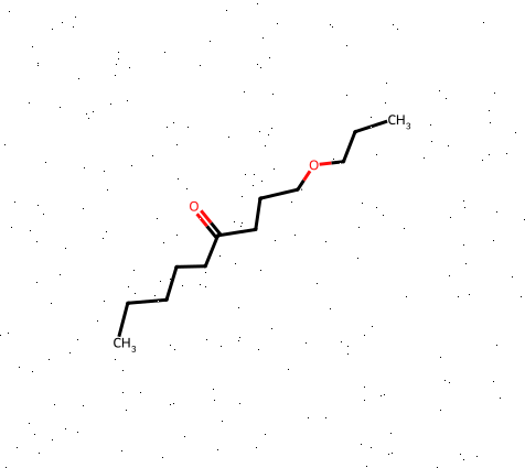 CCCCCC(=O)CC[CH]OCCC